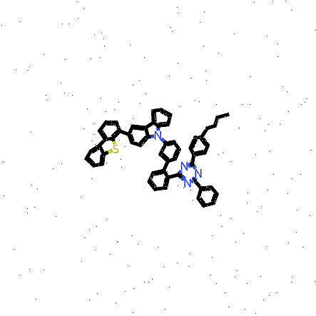 CCCCc1ccc(-c2nc(-c3ccccc3)nc(-c3ccccc3-c3cccc(-n4c5ccccc5c5cc(-c6cccc7c6sc6ccccc67)ccc54)c3)n2)cc1